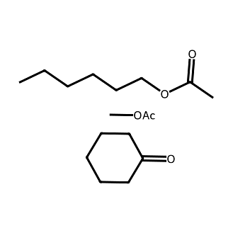 CCCCCCOC(C)=O.COC(C)=O.O=C1CCCCC1